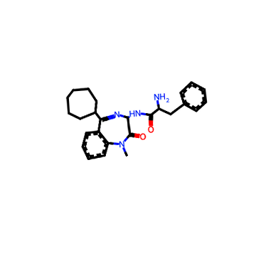 CN1C(=O)C(NC(=O)C(N)Cc2ccccc2)N=C(C2CCCCCC2)c2ccccc21